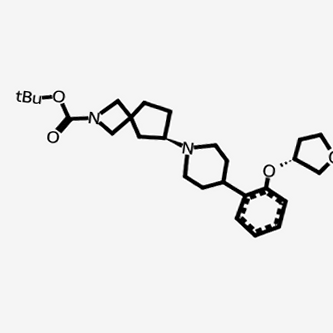 CC(C)(C)OC(=O)N1CC2(CC[C@@H](N3CCC(c4ccccc4O[C@@H]4CCOC4)CC3)C2)C1